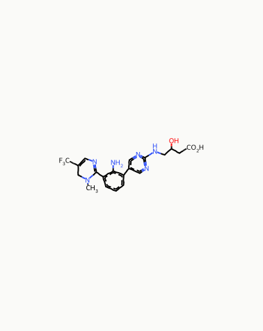 CN1CC(C(F)(F)F)=CN=C1c1cccc(-c2cnc(NCC(O)CC(=O)O)nc2)c1N